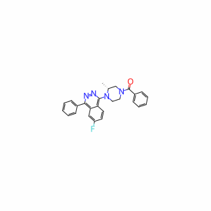 C[C@@H]1CN(C(=O)c2ccccc2)CCN1c1nnc(-c2ccccc2)c2cc(F)ccc12